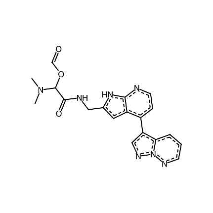 CN(C)C(OC=O)C(=O)NCc1cc2c(-c3cnn4ncccc34)ccnc2[nH]1